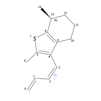 C=C/C=C\c1c(C)sc2c1CCC[C@@H]2C